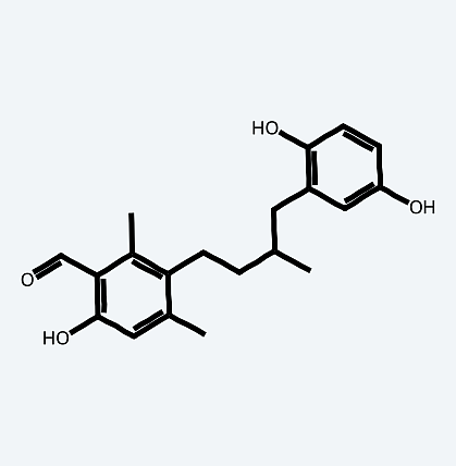 Cc1cc(O)c(C=O)c(C)c1CCC(C)Cc1cc(O)ccc1O